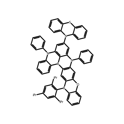 CC(C)c1cc(C(C)C)c(B2c3ccccc3Oc3cc4c(cc32)B2c3ccccc3N(c3ccccc3)c3cc(N5c6ccccc6Sc6ccccc65)cc(c32)N4c2ccccc2)c(C(C)C)c1